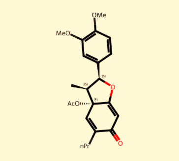 CCCC1=C[C@]2(OC(C)=O)C(=CC1=O)O[C@H](c1ccc(OC)c(OC)c1)[C@@H]2C